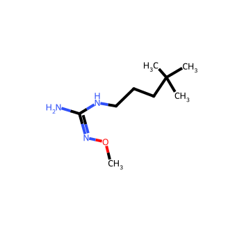 CO/N=C(/N)NCCCC(C)(C)C